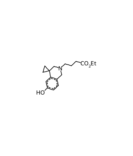 CCOC(=O)CCCN1Cc2ccc(O)cc2C2(CC2)C1